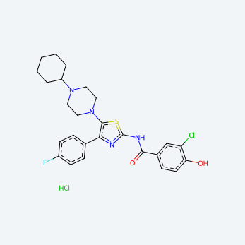 Cl.O=C(Nc1nc(-c2ccc(F)cc2)c(N2CCN(C3CCCCC3)CC2)s1)c1ccc(O)c(Cl)c1